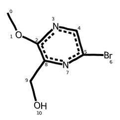 COc1ncc(Br)nc1CO